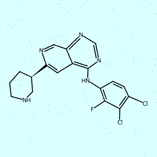 Fc1c(Nc2ncnc3cnc([C@@H]4CCCNC4)cc23)ccc(Cl)c1Cl